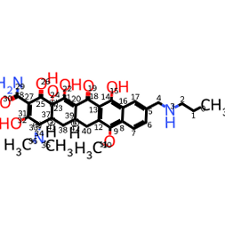 CCCNCc1ccc2c(OC)c3c(c(O)c2c1)C(=O)C1=C(O)[C@]2(O)C(=O)C(C(N)=O)=C(O)[C@@H](N(C)C)[C@@H]2C[C@@H]1C3